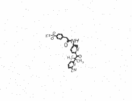 CCS(=O)(=O)c1ccc(CC(=O)Nc2ccc(C(=O)C(C)(C)c3cccc(C#N)n3)nc2)cc1